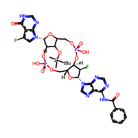 CC(C)(C)[Si](C)(C)OC1C2COP(=O)(O)O[C@H]3[C@@H](F)[C@H](n4cnc5c(NC(=O)c6ccccc6)ncnc54)O[C@@H]3COP(=O)(O)O[C@H]1[C@H](n1cc(F)c3c(=O)[nH]cnc31)O2